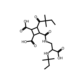 CCC(C)(C)NC(CNC(=O)C1C(C(=O)O)C(C(=O)O)C1C(=O)C(C)(C)CC)C(=O)O